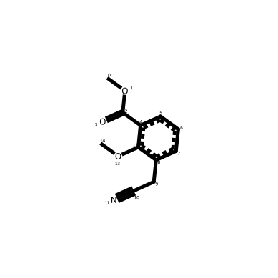 COC(=O)c1cccc(CC#N)c1OC